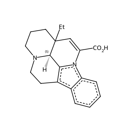 CCC12C=C(C(=O)O)n3c4c(c5ccccc53)CCN(CCC1)[C@H]42